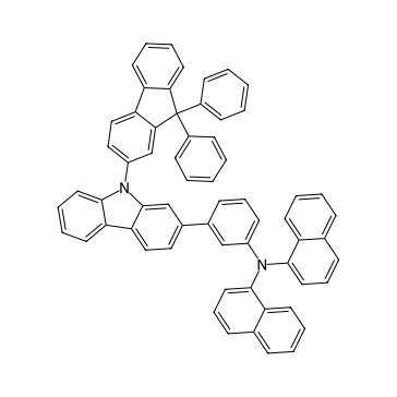 c1ccc(C2(c3ccccc3)c3ccccc3-c3ccc(-n4c5ccccc5c5ccc(-c6cccc(N(c7cccc8ccccc78)c7cccc8ccccc78)c6)cc54)cc32)cc1